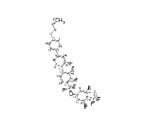 C=CCCc1ccc(-c2ccc(-c3ccc(C(F)(F)Oc4cc(F)c(C(F)(F)F)c(F)c4)c(F)c3F)c(F)c2)cc1